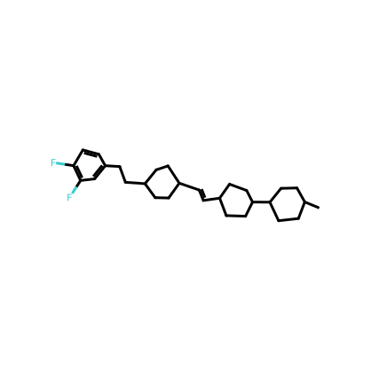 CC1CCC(C2CCC(C=CC3CCC(CCc4ccc(F)c(F)c4)CC3)CC2)CC1